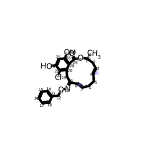 C[C@@H]1C/C=C/CC/C=C/C(=NOCc2ccccc2)Cc2c(Cl)c(O)cc(O)c2C(=O)O1